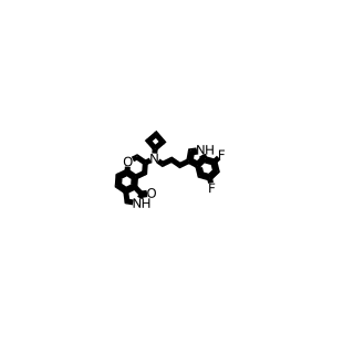 O=C1NCc2ccc3c(c21)CC(N(CCCc1c[nH]c2c(F)cc(F)cc12)C1CCC1)CO3